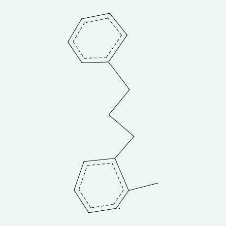 Cc1[c]cccc1CCCc1ccccc1